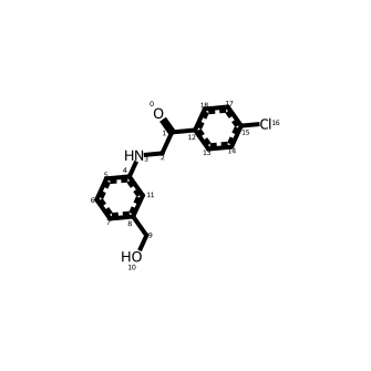 O=C(CNc1cccc(CO)c1)c1ccc(Cl)cc1